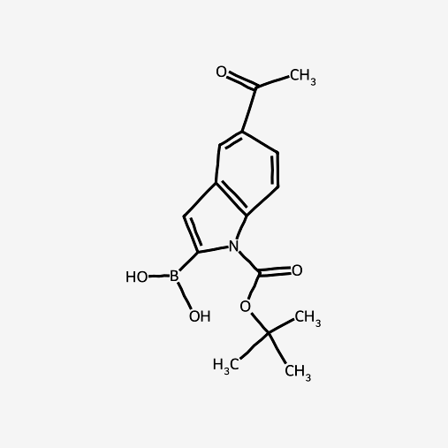 CC(=O)c1ccc2c(c1)cc(B(O)O)n2C(=O)OC(C)(C)C